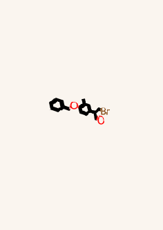 Cc1cc(C(C=O)CBr)ccc1OCc1ccccc1